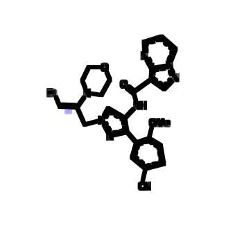 CC/C=C(/Cn1cc(NC(=O)c2cnn3cccnc23)c(-c2cc(C#N)ccc2OC)n1)N1CCOCC1